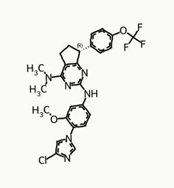 COc1cc(Nc2nc3c(c(N(C)C)n2)CC[C@@H]3c2ccc(OC(F)(F)F)cc2)ccc1-n1cnc(Cl)c1